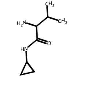 CC(C)C(N)C(=O)NC1CC1